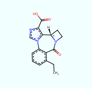 CCc1cccc2c1C(=O)N1CC[C@H]1c1c(C(=O)O)ncn1-2